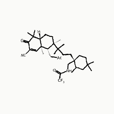 CC(=O)C[C@@H]1[C@@]2(C)C=C(C#N)C(=O)C(C)(C)[C@@H]2CC[C@@]1(C)C(C)(C)CC[C@@]1(CNC(=O)C(F)(F)F)CCC(C)(C)CC1C